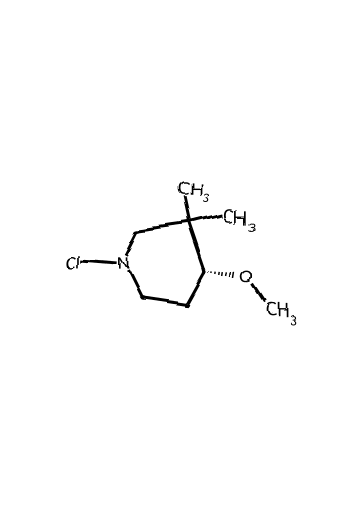 CO[C@@H]1CCN(Cl)CC1(C)C